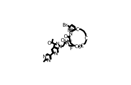 CC(=O)c1nn(CC(=O)N2C[C@@]3(F)COCCCCCCCCc4ccc(Br)nc4NC(=O)[C@@H]2C3)c2cnc(-c3cnc(C)nc3)cc12